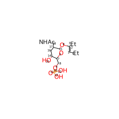 CCC=C(CC)OC1OC(COP(=O)(O)O)C(O)CC1NC(C)=O